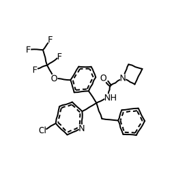 O=C(NC(Cc1ccccc1)(c1cccc(OC(F)(F)C(F)F)c1)c1ccc(Cl)cn1)N1CCC1